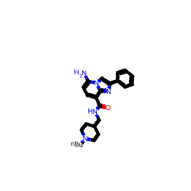 CCCCN1CCC(CNC(=O)c2ccc(N)n3cc(-c4ccccc4)nc23)CC1